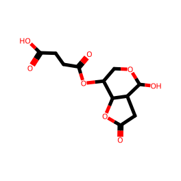 O=C(O)CCC(=O)OC1COC(O)C2CC(=O)OC12